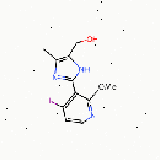 COc1nccc(I)c1-c1nc(C)c(CO)[nH]1